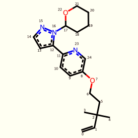 C=CC(C)(C)CCOc1ccc(-c2ccnn2C2CCCCO2)nc1